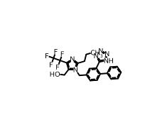 CCCc1nc(C(F)(F)C(F)(F)F)c(CO)n1Cc1ccc(-c2ccccc2)c(-c2nnn[nH]2)c1